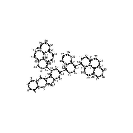 c1ccc2cc3c(cc2c1)oc1cc(-c2ccc(-c4ccc5ccc6cccc7ccc4c5c67)c4ccccc24)cc(-c2ccc4ccc5cccc6ccc2c4c56)c13